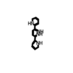 N=C(/C=C\C(=N)C1=CC=CCN1)C1=CC=CCN1